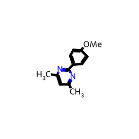 COc1ccc(-c2nc(C)cc(C)n2)cc1